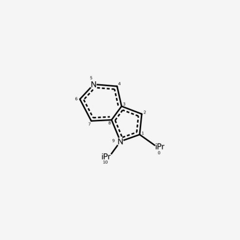 CC(C)c1cc2cnccc2n1C(C)C